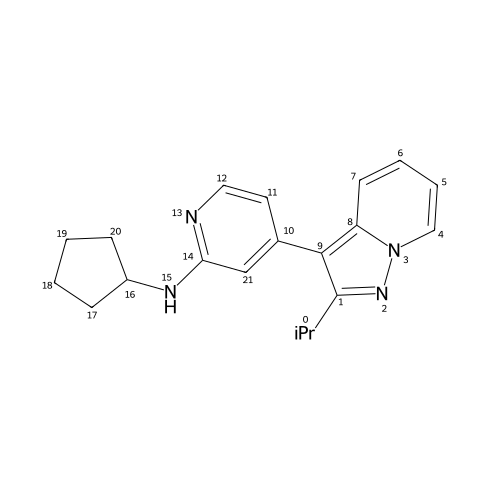 CC(C)c1nn2ccccc2c1-c1ccnc(NC2CCCC2)c1